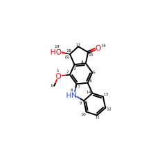 COc1c2c(cc3c1[nH]c1ccccc13)C(=O)C[C@@H]2O